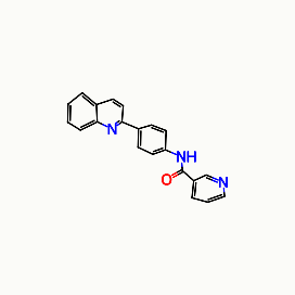 O=C(Nc1ccc(-c2ccc3ccccc3n2)cc1)c1cccnc1